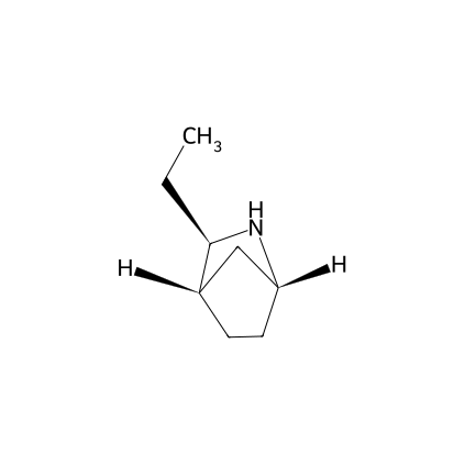 CC[C@H]1N[C@@H]2CC[C@H]1C2